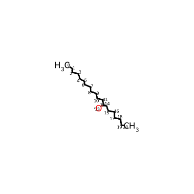 CCCCCCCCCCCCC([O])CCCCCCC